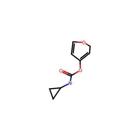 O=C([N]C1CC1)OC1=CCOC=C1